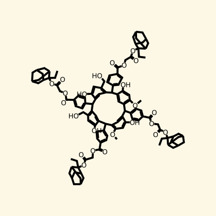 CCC1(OC(=O)COC(=O)c2ccc(C3c4cc(c(OC)cc4O)C(c4ccc(C(=O)OCC(=O)OC5(CC)C6CC7CC(C6)CC5C7)cc4)c4cc(c(OC)cc4O)C(c4ccc(C(=O)OCC(=O)OC5(CC)C6CC7CC(C6)CC5C7)cc4)c4cc(c(CO)cc4O)C(c4ccc(C(=O)OCC(=O)OC5(CC)C6CC7CC(C6)CC5C7)cc4)c4cc3c(CO)cc4O)cc2)C2CC3CC(C2)CC1C3